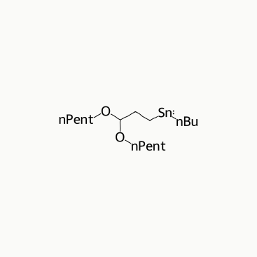 CCCCCOC(C[CH2][Sn][CH2]CCC)OCCCCC